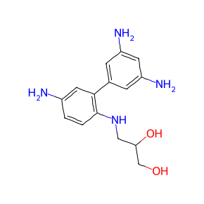 Nc1cc(N)cc(-c2cc(N)ccc2NCC(O)CO)c1